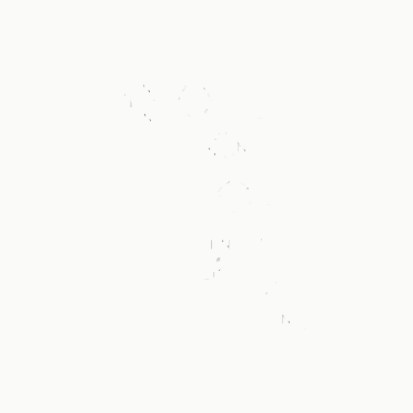 CCc1nc(-c2ccc(OC(CC)c3nc(-c4ccc(C(=O)N[C@H](CC)COC(=O)CN)c(F)c4)no3)cc2)no1